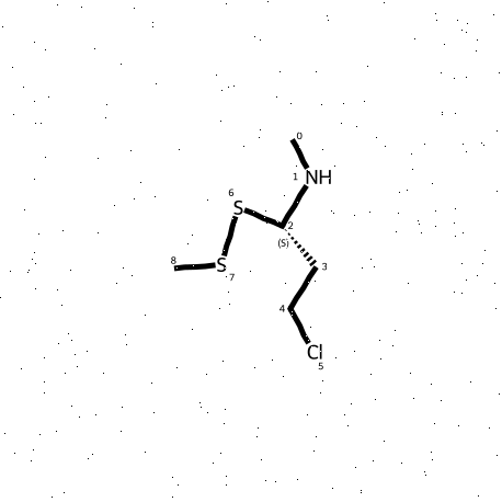 CN[C@H](CCCl)SSC